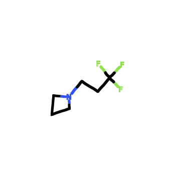 FC(F)(F)CCN1CCC1